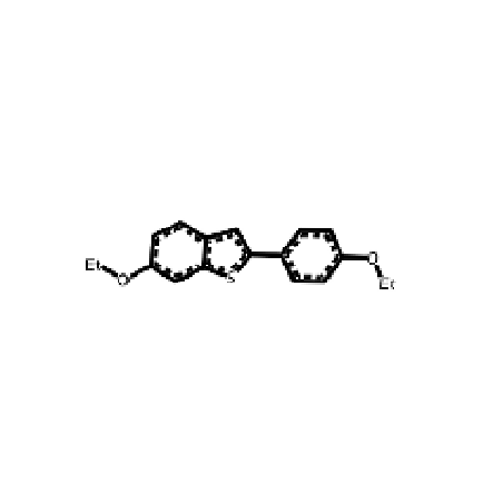 CCOc1ccc(-c2cc3ccc(OCC)cc3s2)cc1